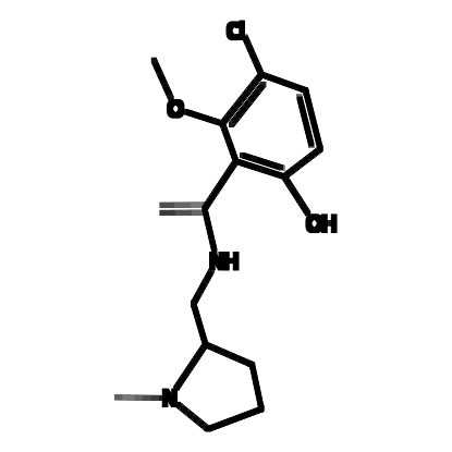 C=C(NCC1CCCN1C)c1c(O)ccc(Cl)c1OC